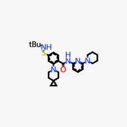 CC(C)(C)NSc1ccc(C(=O)Nc2cccc(N3CCCCC3)n2)c(N2CCC3(CC2)CC3)c1